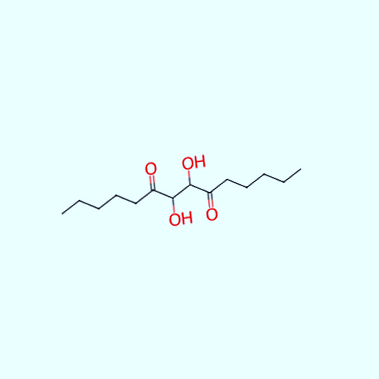 CCCCCC(=O)C(O)C(O)C(=O)CCCCC